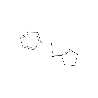 C1=C(OCc2ccccc2)CCC1